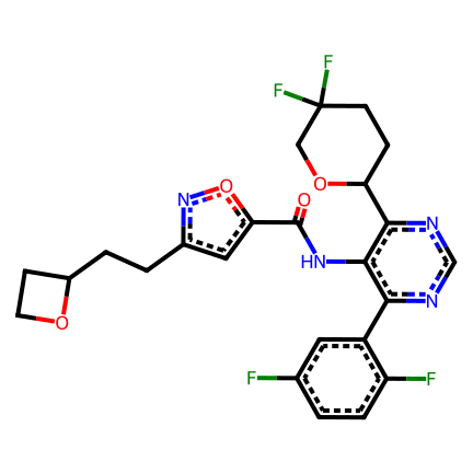 O=C(Nc1c(-c2cc(F)ccc2F)ncnc1C1CCC(F)(F)CO1)c1cc(CCC2CCO2)no1